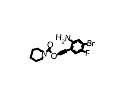 Nc1cc(Br)c(F)cc1C#COC(=O)N1CCCCC1